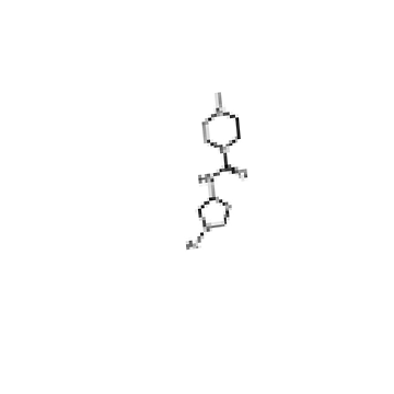 CC(=O)N1CCC(NC(=O)N2CCN(C)CC2)C1